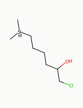 C[SiH](C)CCCCC(O)CCl